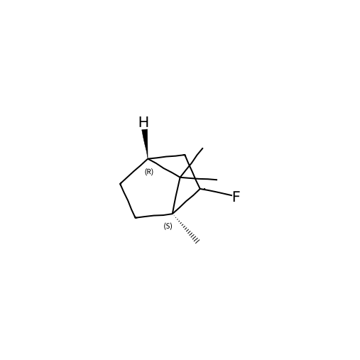 CC1(C)[C@@H]2CC[C@]1(C)[C](F)C2